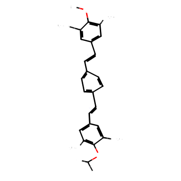 CCC(CC)Oc1c(OC)cc(/C=C/c2ccc(/C=C/c3cc(OC)c(OC(C)C)c(OC)c3)cc2)cc1OC